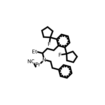 CC#N.CCC(CCc1c(C2(F)CCCC2)cccc1C1(F)CCCC1)N(CCc1ccccc1)C(C)C